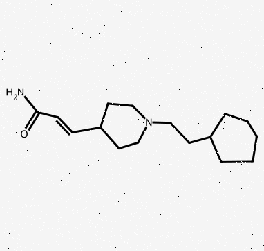 NC(=O)C=CC1CCN(CCC2CCCCC2)CC1